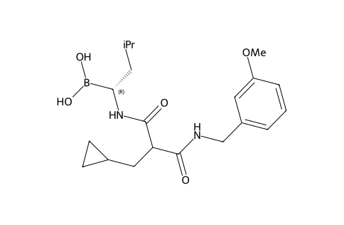 COc1cccc(CNC(=O)C(CC2CC2)C(=O)N[C@@H](CC(C)C)B(O)O)c1